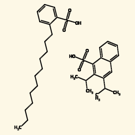 CC(C)c1cc2ccccc2c(S(=O)(=O)O)c1C(C)C.CCCCCCCCCCCCc1ccccc1S(=O)(=O)O